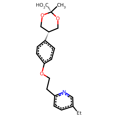 CCc1ccc(CCOc2ccc([C@H]3CO[C@@](C)(C(=O)O)OC3)cc2)nc1